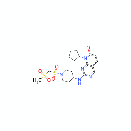 CS(=O)(=O)CS(=O)(=O)N1CCC(Nc2ncc3ccc(=O)n(C4CCCC4)c3n2)CC1